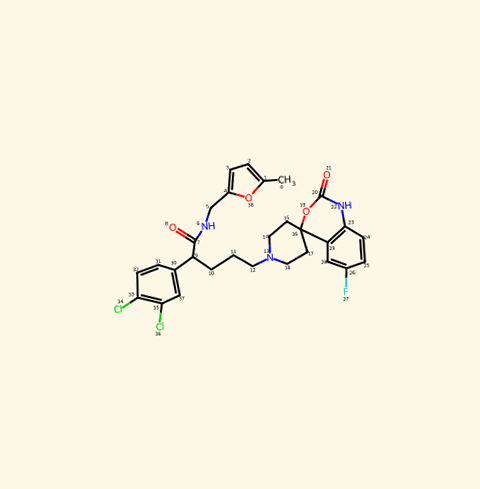 Cc1ccc(CNC(=O)C(CCCN2CCC3(CC2)OC(=O)Nc2ccc(F)cc23)c2ccc(Cl)c(Cl)c2)o1